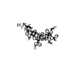 CCOC(=O)C(COC(C)=O)(COP(=O)(NC(C)C(=O)OC)OC[C@H]1O[C@@H](n2ccc(N)nc2=O)C(OC)C1O)C(=O)OCC